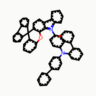 c1ccc(-c2ccc(N(c3ccc(-n4c5ccccc5c5ccc6c(c54)Oc4ccccc4C64c5ccccc5-c5ccccc54)cc3)c3ccccc3-c3ccccc3)cc2)cc1